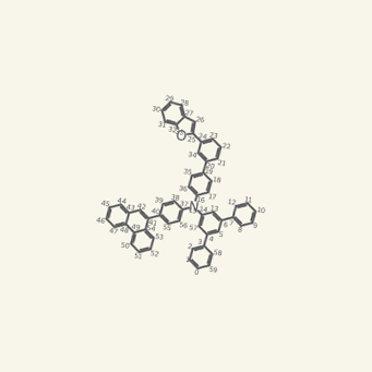 c1ccc(-c2cc(-c3ccccc3)cc(N(c3ccc(-c4cccc(-c5cc6ccccc6o5)c4)cc3)c3ccc(-c4cc5ccccc5c5ccccc45)cc3)c2)cc1